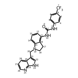 O=C(Nc1ccc(C(F)(F)F)cc1)Nc1cccc2c1CCN2Cc1c[nH]c2ncccc12